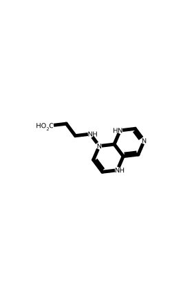 O=C(O)CCNN1C=CNC2=CN=CNC21